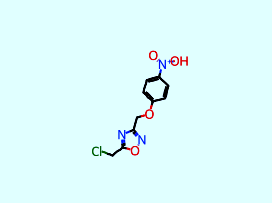 O=[N+](O)c1ccc(OCc2noc(CCl)n2)cc1